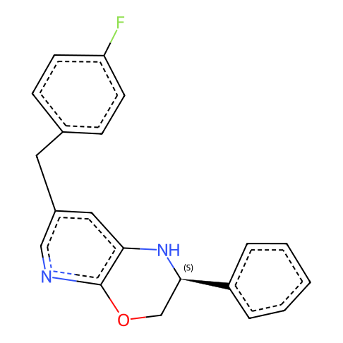 Fc1ccc(Cc2cnc3c(c2)N[C@@H](c2ccccc2)CO3)cc1